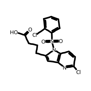 O=C(O)CCCc1cc2nc(Cl)ccc2n1S(=O)(=O)c1ccccc1Cl